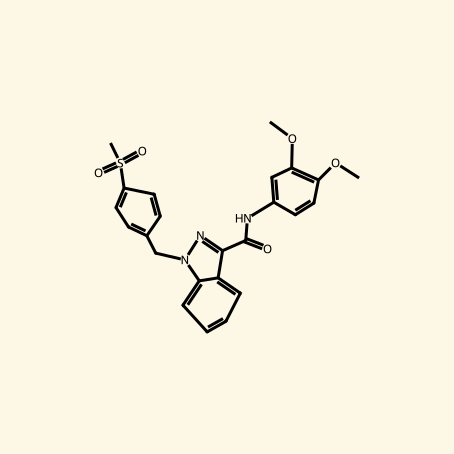 COc1ccc(NC(=O)c2nn(Cc3ccc(S(C)(=O)=O)cc3)c3ccccc23)cc1OC